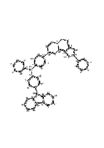 C1=CC2CC=c3nc(-c4ccccc4)oc3=C2C=C1c1ccc(N(c2ccccc2)c2ccc(-n3c4ccccc4c4ccccc43)cc2)cc1